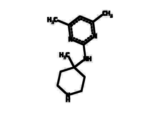 Cc1cc(C)nc(NC2(C)CCNCC2)n1